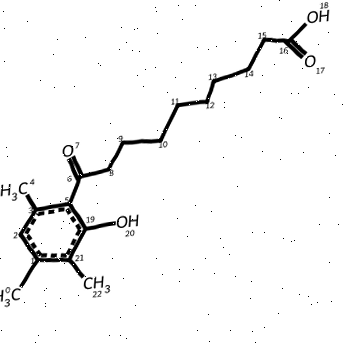 Cc1cc(C)c(C(=O)CCCCCCCCC(=O)O)c(O)c1C